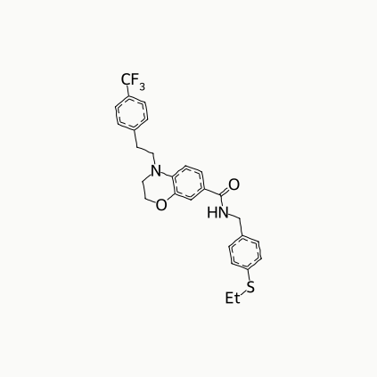 CCSc1ccc(CNC(=O)c2ccc3c(c2)OCCN3CCc2ccc(C(F)(F)F)cc2)cc1